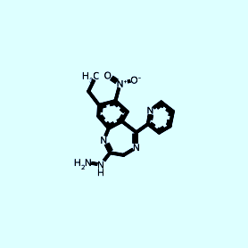 CCc1cc2c(cc1[N+](=O)[O-])C(c1ccccn1)=NCC(NN)=N2